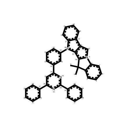 CC1(C)c2ccccc2-n2cc3c4ccccc4n(-c4cccc(-c5cc(-c6ccccc6)nc(-c6ccccc6)n5)c4)c3c21